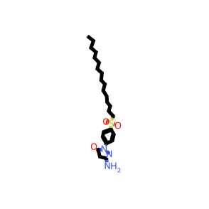 CCCCCCCCCCCCCCCCS(=O)(=O)c1ccc(N2N=C(N)CC2=O)cc1